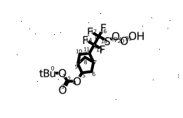 CC(C)(C)OC(=O)OC1CC2CC1CC2C(F)(F)C(F)(F)SOOO